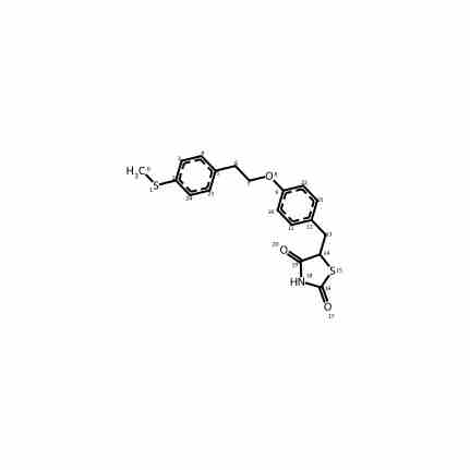 CSc1ccc(CCOc2ccc(CC3SC(=O)NC3=O)cc2)cc1